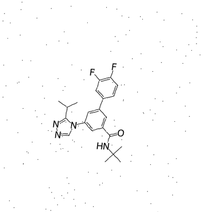 CC(C)c1nncn1-c1cc(C(=O)NC(C)(C)C)cc(-c2ccc(F)c(F)c2)c1